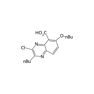 CCCCOc1ccc2nc(CCCC)c(Cl)nc2c1C(=O)O